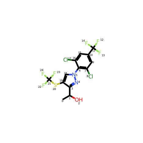 CC(O)c1nn(-c2c(Cl)cc(C(F)(F)F)cc2Cl)cc1SC(F)(F)F